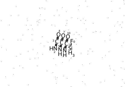 F[SiH3].N=C=O.N=C=O.N=C=O